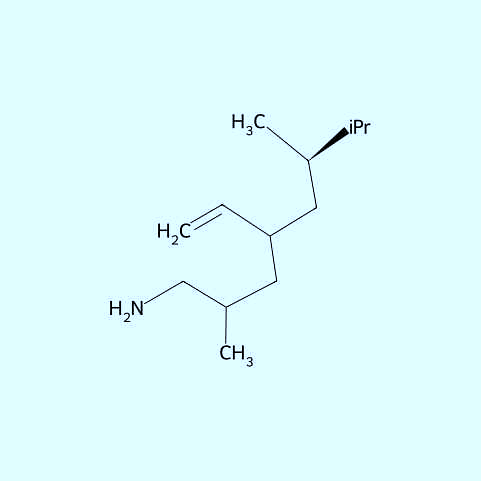 C=CC(CC(C)CN)C[C@@H](C)C(C)C